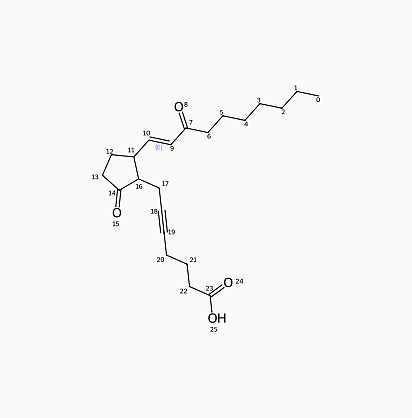 CCCCCCCC(=O)/C=C/C1CCC(=O)C1CC#CCCCC(=O)O